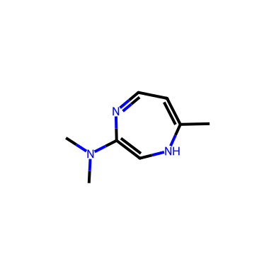 CC1=CC=NC(N(C)C)=CN1